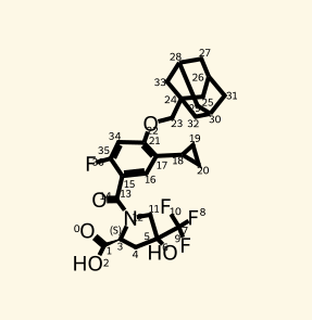 O=C(O)[C@@H]1CC(O)(C(F)(F)F)CN1C(=O)c1cc(C2CC2)c(OCC23CC4CC(CC(C4)C2)C3)cc1F